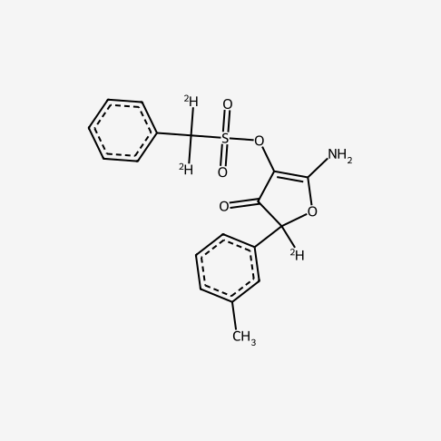 [2H]C1(c2cccc(C)c2)OC(N)=C(OS(=O)(=O)C([2H])([2H])c2ccccc2)C1=O